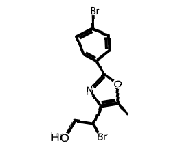 Cc1oc(-c2ccc(Br)cc2)nc1C(Br)CO